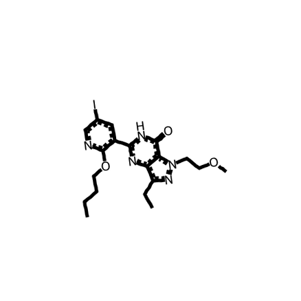 CCCCOc1ncc(I)cc1-c1nc2c(CC)nn(CCOC)c2c(=O)[nH]1